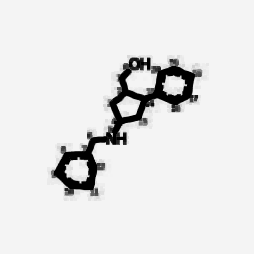 OCC1CC(NCc2ccccc2)CC1c1ccccc1